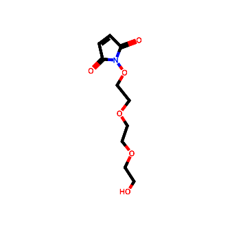 O=C1C=CC(=O)N1OCCOCCOCCO